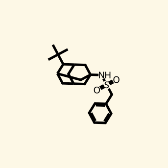 CC(C)(C)C1C2CC3CC1CC(NS(=O)(=O)Cc1ccccc1)(C3)C2